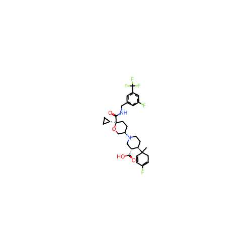 CC1([C@@H]2CCN([C@@H]3CC[C@@](C(=O)NCc4cc(F)cc(C(F)(F)F)c4)(C4CC4)OC3)C[C@H]2C(=O)O)C=CC(F)=CC1